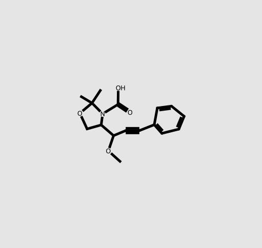 COC(C#Cc1ccccc1)C1COC(C)(C)N1C(=O)O